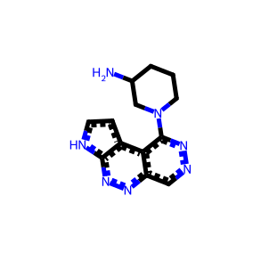 NC1CCCN(c2nncc3nnc4[nH]ccc4c23)C1